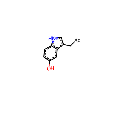 CC(=O)Cc1c[nH]c2ccc(O)cc12